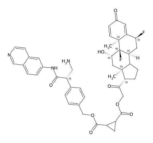 C[C@]12C[C@H](O)[C@@]3(F)[C@@H](C[C@H](F)C4=CC(=O)C=C[C@@]43C)C1CC[C@@H]2C(=O)COC(=O)C1CC1C(=O)OCc1ccc([C@@H](CN)C(=O)Nc2ccc3cnccc3c2)cc1